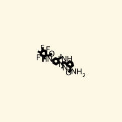 Cc1c(F)c(F)c(C(=O)Nc2cccc([C@@H](C)Nc3ncnc4c(C(N)=O)cccc34)c2)c(F)c1F